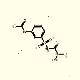 CCC(=O)Nc1cccc(S(=O)(=O)NC(=O)N(CC)CC)c1